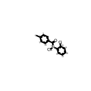 [CH2]c1ccc(C(=O)N(Cl)c2ccccc2Cl)cc1